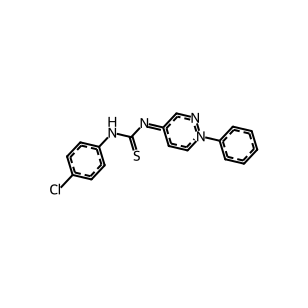 S=C(/N=c1\ccn(-c2ccccc2)nc1)Nc1ccc(Cl)cc1